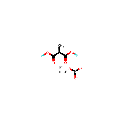 CC(C(=O)OF)C(=O)OF.[Li+].[Li+].[Li+].[O-]B([O-])[O-]